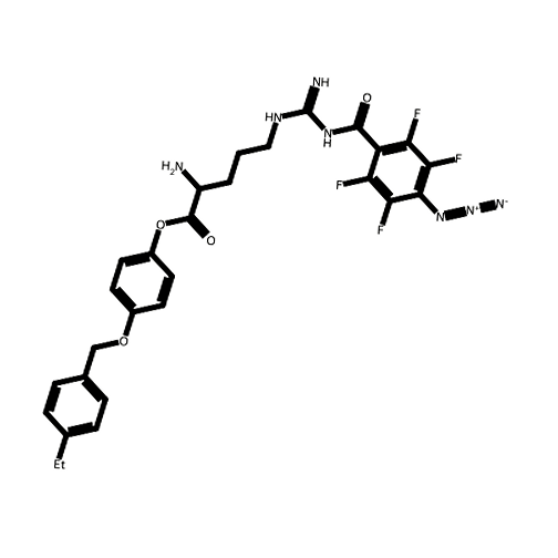 CCc1ccc(COc2ccc(OC(=O)C(N)CCCNC(=N)NC(=O)c3c(F)c(F)c(N=[N+]=[N-])c(F)c3F)cc2)cc1